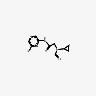 O=CN(CC(=O)Nc1cncc(Br)n1)C1CC1